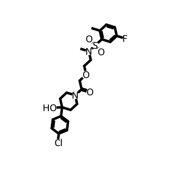 Cc1ccc(F)cc1S(=O)(=O)N(C)CCOCC(=O)N1CCC(O)(c2ccc(Cl)cc2)CC1